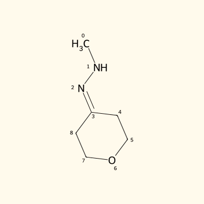 CNN=C1CCOCC1